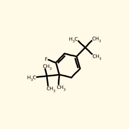 CC(C)(C)C1=CCC(C)(C(C)(C)C)C(F)=C1